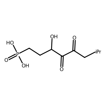 CC(C)CC(=O)C(=O)C(O)CCP(=O)(O)O